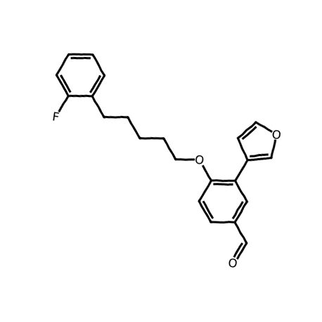 O=Cc1ccc(OCCCCCc2ccccc2F)c(-c2ccoc2)c1